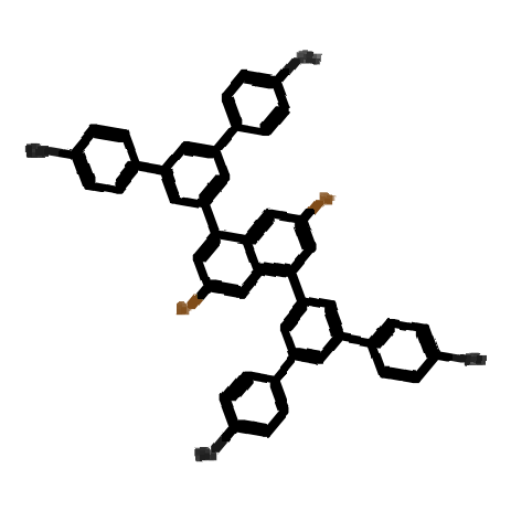 CC(C)(C)c1ccc(-c2cc(-c3ccc(C(C)(C)C)cc3)cc(-c3cc(Br)cc4c(-c5cc(-c6ccc(C(C)(C)C)cc6)cc(-c6ccc(C(C)(C)C)cc6)c5)cc(Br)cc34)c2)cc1